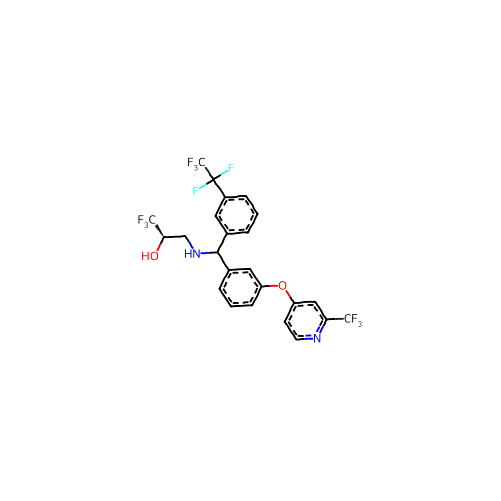 O[C@H](CNC(c1cccc(Oc2ccnc(C(F)(F)F)c2)c1)c1cccc(C(F)(F)C(F)(F)F)c1)C(F)(F)F